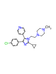 CN1CCN(CCn2c(C3CC3)nc(-c3ccc(Cl)cc3)c2-c2ccncc2)CC1